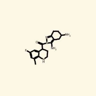 Cc1cc(F)cc2c1NCCC2C(=O)n1nc2c(c1N)CC(N)CC2